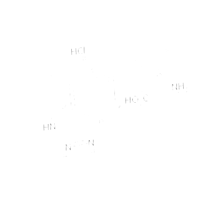 Cc1cc(C[C@@](C)(N)C(=O)O)cc2nn[nH]c12.Cl